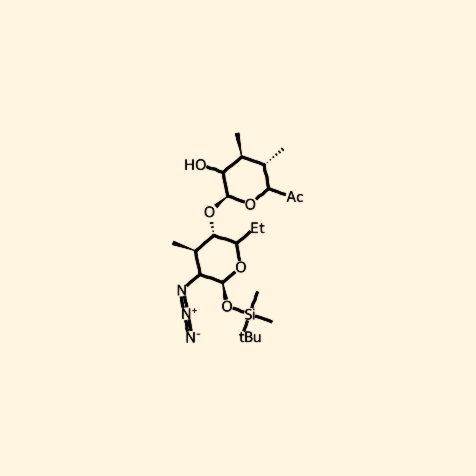 CCC1O[C@@H](O[Si](C)(C)C(C)(C)C)C(N=[N+]=[N-])[C@@H](C)[C@@H]1O[C@@H]1OC(C(C)=O)[C@@H](C)[C@H](C)C1O